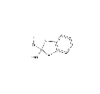 COC1(OC)Cc2ccccc2[N]1